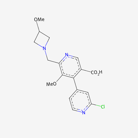 COc1c(CN2CC(OC)C2)ncc(C(=O)O)c1-c1ccnc(Cl)c1